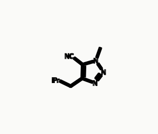 CC(C)Cc1nnn(C)c1C#N